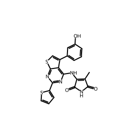 CC1=C(Nc2nc(-c3cccs3)nc3scc(-c4cccc(O)c4)c23)C(=O)NC1=O